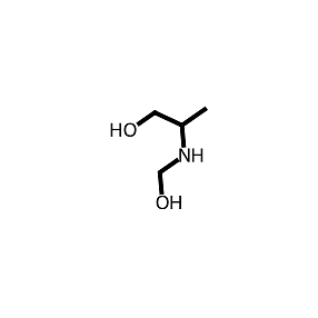 CC(CO)NCO